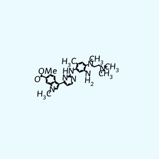 COC(=O)c1ccc2c(-c3ccnc(Nc4cc(N)c(N(C)CCN(C)C)cc4C)n3)cn(C)c2c1